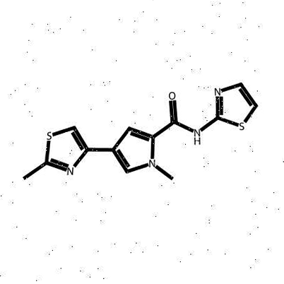 Cc1nc(-c2cc(C(=O)Nc3nccs3)n(C)c2)cs1